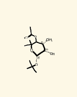 CC(=O)OC1[C@H](O)[C@H](O)[C@H](OC(C)(C)C)OC1(C)C